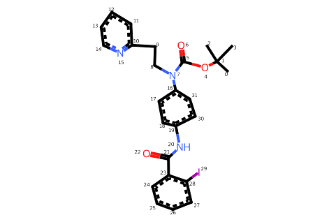 CC(C)(C)OC(=O)N(CCc1ccccn1)c1ccc(NC(=O)c2ccccc2I)cc1